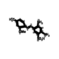 COc1cc(C)ccc1N=Nc1cc(S(=O)(=O)O)c(N)cc1N